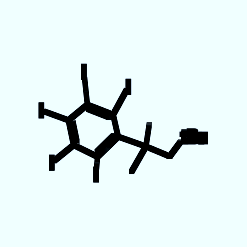 CC(C)(C)CC(C)(C)c1c(I)c(I)c(I)c(I)c1I